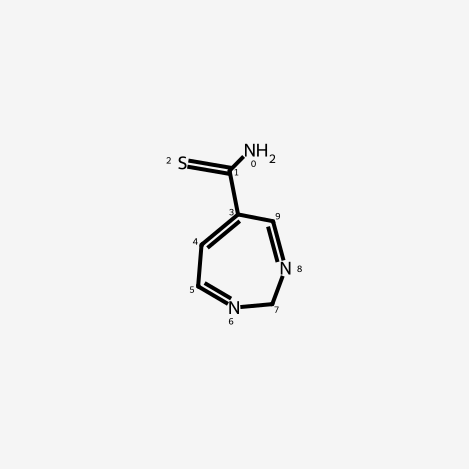 NC(=S)C1=CC=NCN=C1